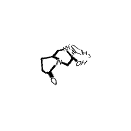 C[C@]1(O)CN2C(=O)CCC2CN1